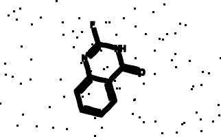 O=c1[nH]c(F)nc2ccccc12